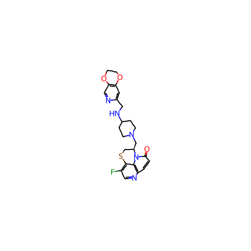 O=c1ccc2ncc(F)c3c2n1[C@H](CN1CCC(NCc2cc4c(cn2)OCCO4)CC1)CS3